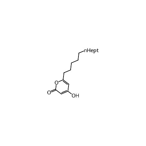 CCCCCCCCCCCCc1cc(O)cc(=O)o1